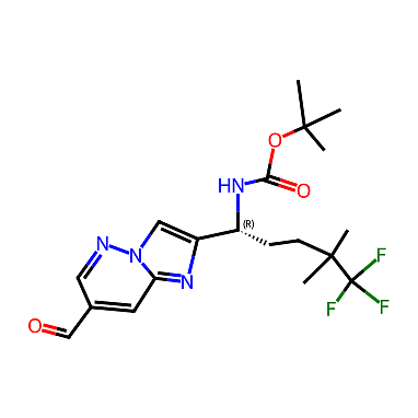 CC(C)(C)OC(=O)N[C@H](CCC(C)(C)C(F)(F)F)c1cn2ncc(C=O)cc2n1